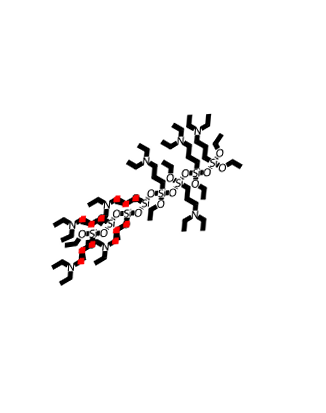 CCO[Si](CCCN(CC)CC)(OCC)O[Si](CCCN(CC)CC)(OCC)O[Si](CCCN(CC)CC)(OCC)O[Si](CCCN(CC)CC)(OCC)O[Si](CCCN(CC)CC)(OCC)O[Si](CCCN(CC)CC)(OCC)O[Si](CCCN(CC)CC)(OCC)O[Si](CCCN(CC)CC)(OCC)OCC